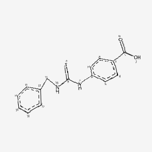 O=C(O)c1ccc(NC(=S)NCc2ccccc2)cc1